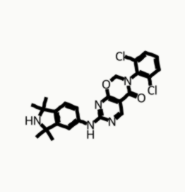 CC1(C)NC(C)(C)c2cc(Nc3ncc4c(n3)OCN(c3c(Cl)cccc3Cl)C4=O)ccc21